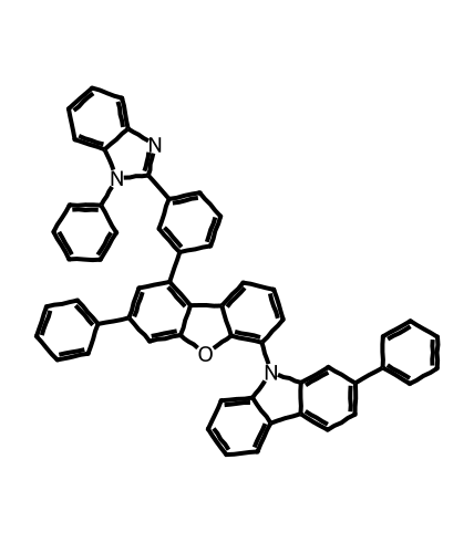 c1ccc(-c2cc(-c3cccc(-c4nc5ccccc5n4-c4ccccc4)c3)c3c(c2)oc2c(-n4c5ccccc5c5ccc(-c6ccccc6)cc54)cccc23)cc1